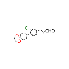 CC(C=O)Cc1ccc(C2CCC3(CC2)OCCO3)c(Cl)c1